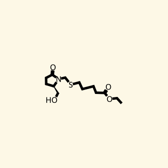 CCOC(=O)CCCCSCN1C(=O)CC[C@@H]1CO